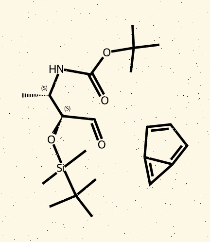 C[C@H](NC(=O)OC(C)(C)C)[C@@H](C=O)O[Si](C)(C)C(C)(C)C.c1cc2cc-2c1